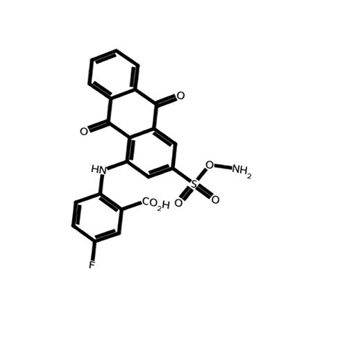 NOS(=O)(=O)c1cc(Nc2ccc(F)cc2C(=O)O)c2c(c1)C(=O)c1ccccc1C2=O